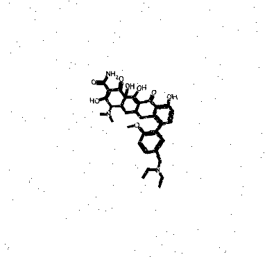 CCN(CC)Cc1ccc(OC)c(-c2ccc(O)c3c2CC2CC4C(N(C)C)C(O)=C(C(N)=O)C(=O)C4(O)C(O)=C2C3=O)c1